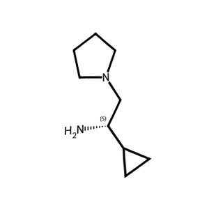 N[C@H](CN1CCCC1)C1CC1